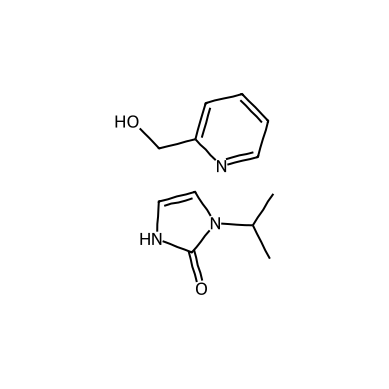 CC(C)n1cc[nH]c1=O.OCc1ccccn1